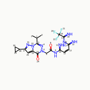 CC(C)c1nn(CC(=O)NC(=N)/C=C\C(=N)NC(=N)C(F)(F)F)c(=O)c2cc(C3CC3)nn12